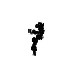 COCCn1c(Cc2ccc(-c3cccc(OCc4ccc(C#N)nc4)n3)cc2F)nc2ccc(C(=O)O)cc21